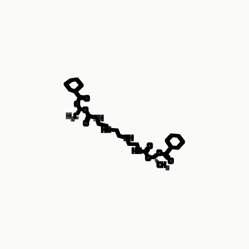 C[C@H](OC(=O)NCCNCCNCCNC(=O)O[C@@H](C)OC(=O)C1CCCCC1)OC(=O)C1CCCCC1